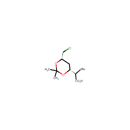 CC1(C)O[C@H](CCl)C[C@H](C(C(=O)O)C(C)(C)C)O1